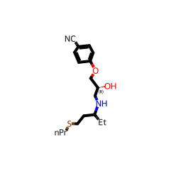 CCCSCCC(CC)NC[C@@H](O)COc1ccc(C#N)cc1